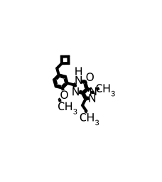 CCCc1nn(C)c2c(=O)[nH]c(-c3cc(CC4CCC4)ccc3OCC)nc12